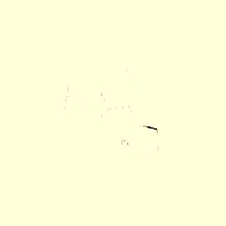 CO[C@H]([C@H]1C[CH]CN1)S(=O)(=O)C1CC1